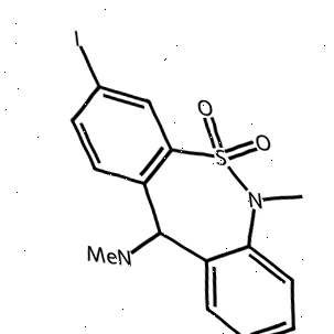 CNC1c2ccccc2N(C)S(=O)(=O)c2cc(I)ccc21